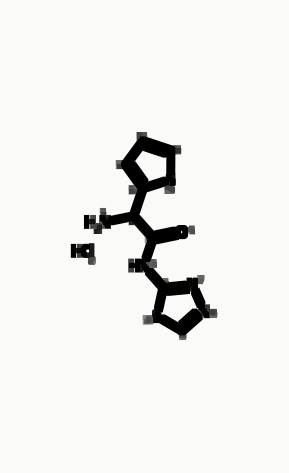 Cl.NC(C(=O)Nc1nncs1)c1cccs1